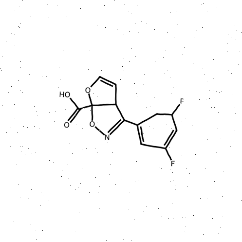 O=C(O)C12OC=CC1C(C1=CC(F)=CC(F)C1)=NO2